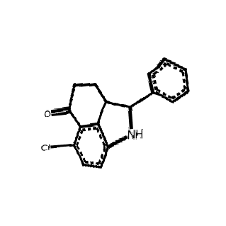 O=C1CCC2c3c(ccc(Cl)c31)NC2c1ccccc1